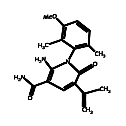 C=C(C)c1cc(C(N)=O)c(N)n(-c2c(C)ccc(OC)c2C)c1=O